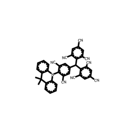 CC1(C)c2ccccc2N(c2c(C#N)cc(C(c3c(C#N)cc(C#N)cc3C#N)c3c(C#N)cc(C#N)cc3C#N)cc2C#N)c2ccccc21